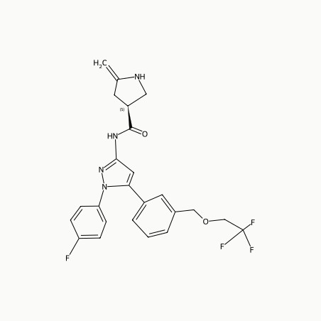 C=C1C[C@H](C(=O)Nc2cc(-c3cccc(COCC(F)(F)F)c3)n(-c3ccc(F)cc3)n2)CN1